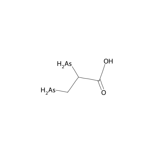 O=C(O)C([AsH2])C[AsH2]